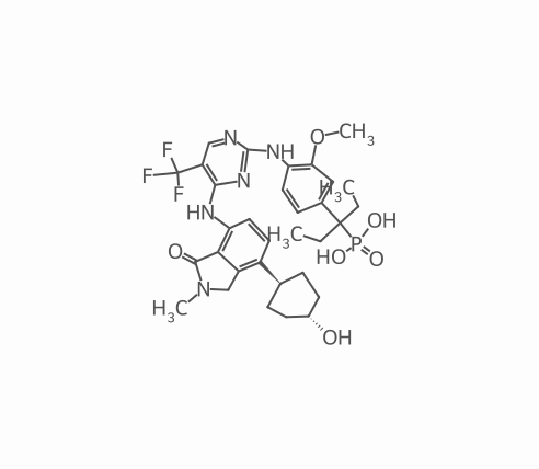 CCC(CC)(c1ccc(Nc2ncc(C(F)(F)F)c(Nc3ccc([C@H]4CC[C@H](O)CC4)c4c3C(=O)N(C)C4)n2)c(OC)c1)P(=O)(O)O